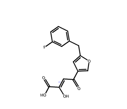 O=C(O)/C(O)=C/C(=O)c1coc(Cc2cccc(F)c2)c1